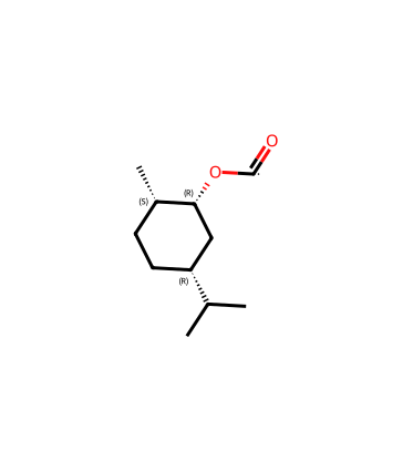 CC(C)[C@@H]1CC[C@H](C)[C@H](O[C]=O)C1